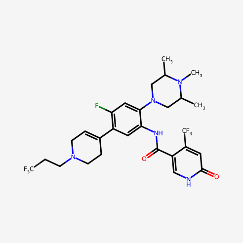 CC1CN(c2cc(F)c(C3=CCN(CCC(F)(F)F)CC3)cc2NC(=O)c2c[nH]c(=O)cc2C(F)(F)F)CC(C)N1C